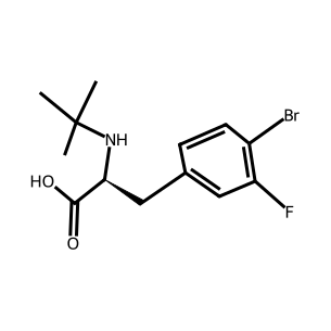 CC(C)(C)N[C@@H](Cc1ccc(Br)c(F)c1)C(=O)O